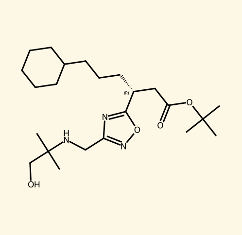 CC(C)(CO)NCc1noc([C@H](CCCC2CCCCC2)CC(=O)OC(C)(C)C)n1